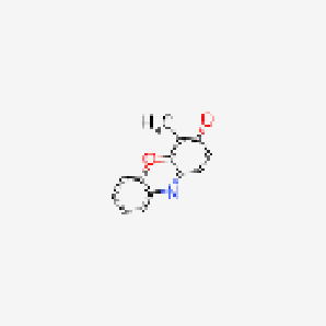 Cc1c2oc3ccccc3nc-2ccc1=O